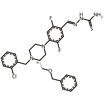 NC(=S)NN=Cc1cc(F)c(N2CCN(Cc3ccccc3Cl)[C@@H](COCc3ccccc3)C2)cc1F